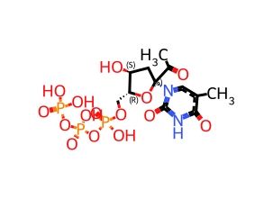 CC(=O)[C@]1(n2cc(C)c(=O)[nH]c2=O)C[C@H](O)[C@@H](COP(=O)(O)OP(=O)(O)OP(=O)(O)O)O1